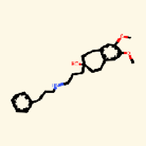 COc1cc2c(cc1OC)CCC(O)(CCCNCCCc1ccccc1)CC2